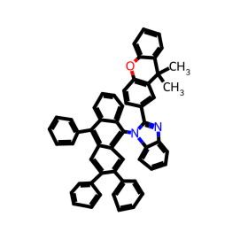 CC1(C)c2ccccc2Oc2ccc(-c3nc4ccccc4n3-c3c4ccccc4c(-c4ccccc4)c4cc(-c5ccccc5)c(-c5ccccc5)cc34)cc21